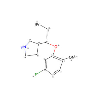 COc1ccc(F)cc1O[C@@H](CC(C)C)C1CCNC1